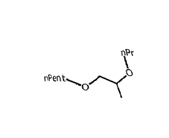 C[CH]COC(C)COCCCCC